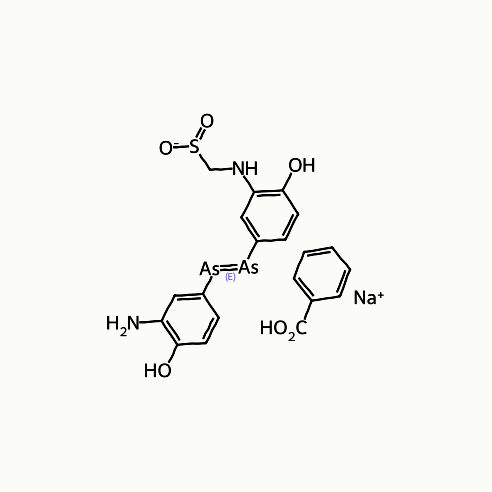 Nc1cc(/[As]=[As]/c2ccc(O)c(NCS(=O)[O-])c2)ccc1O.O=C(O)c1ccccc1.[Na+]